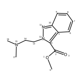 COC(=O)c1c2ccccc2nn1CCN(C)C